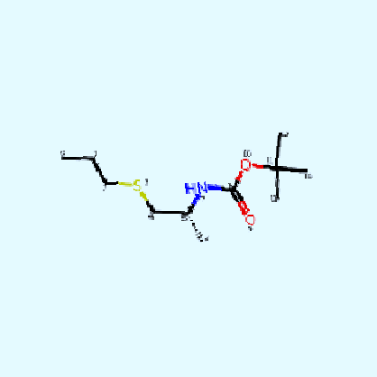 CCCSC[C@@H](C)NC(=O)OC(C)(C)C